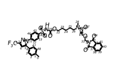 Cc1ccc(-c2cc(C(F)(F)F)nn2-c2ccc(S(=O)(=O)NC(=O)OCCCCCN(C)/[N+]([O-])=N/OCN3C(=O)c4ccccc4C3=O)cc2)cc1